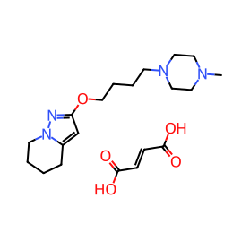 CN1CCN(CCCCOc2cc3n(n2)CCCC3)CC1.O=C(O)C=CC(=O)O